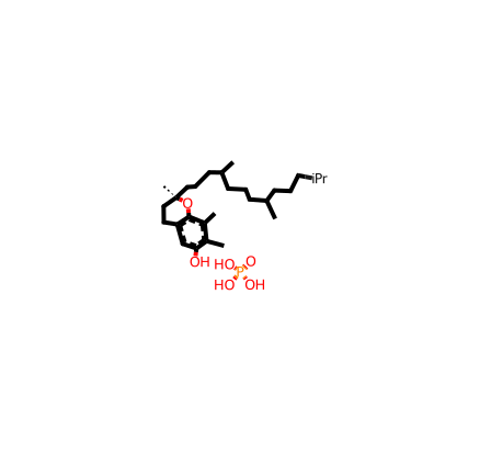 Cc1c(O)cc2c(c1C)O[C@](C)(CCCC(C)CCCC(C)CCCC(C)C)CC2.O=P(O)(O)O